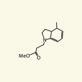 COC(=O)CCN1CCC2C1=CC=CC2C